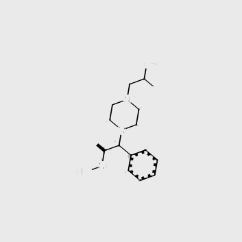 CCCCC(CC)CN1CCN(C(C(=O)NO)c2ccccc2)CC1